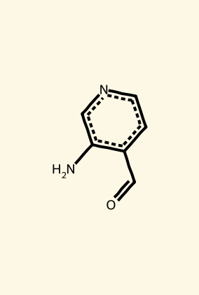 Nc1cnccc1C=O